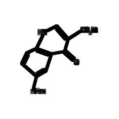 CCCCCCc1ccc2[nH]cc(C(=O)OCC)c(=O)c2c1